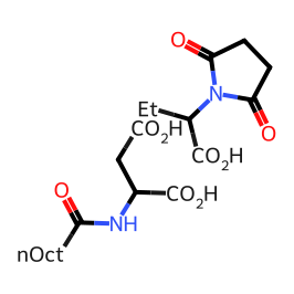 CCC(C(=O)O)N1C(=O)CCC1=O.CCCCCCCCC(=O)NC(CC(=O)O)C(=O)O